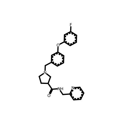 O=C(NCc1ccccn1)C1CCN(Cc2cccc(Oc3cccc(F)c3)c2)C1